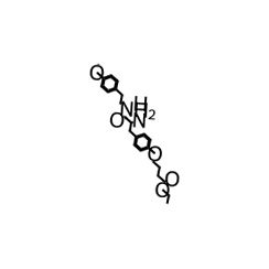 CCOC(=O)CCCOc1ccc(C[C@H](N)C(=O)NCCc2ccc(OC)cc2)cc1